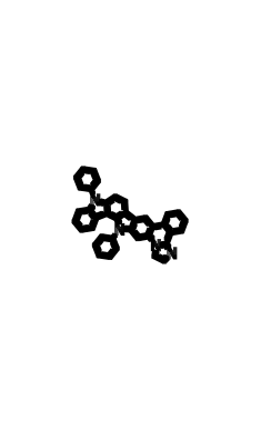 c1ccc(-n2c3ccccc3c3c2ccc2c4cc5c6ccccc6c6nccn6c5cc4n(-c4ccccc4)c23)cc1